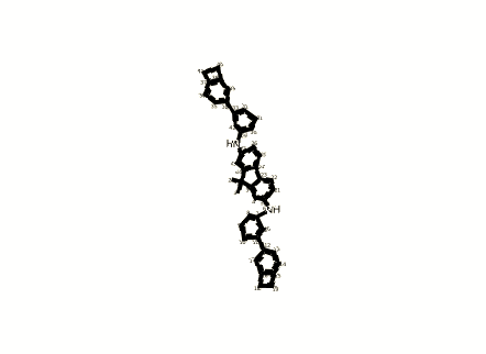 CC1(C)c2cc(Nc3cccc(-c4ccc5c(c4)CC5)c3)ccc2-c2ccc(Nc3cccc(-c4ccc5c(c4)CC5)c3)cc21